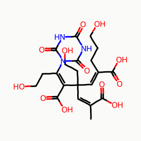 CC(=CC(C=C(CCCO)C(=O)O)(CCO)C(C(=O)O)=C(CCO)n1c(=O)[nH]c(=O)[nH]c1=O)C(=O)O